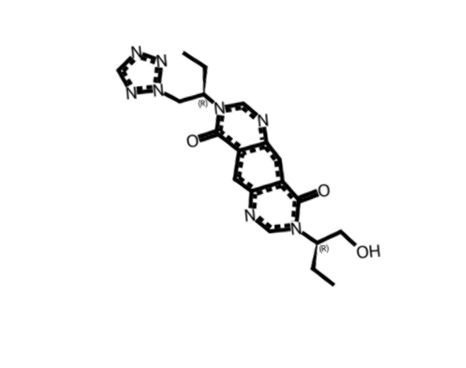 CC[C@H](CO)n1cnc2cc3c(=O)n([C@H](CC)Cn4ncnn4)cnc3cc2c1=O